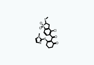 CSC1Cc2c(ccc(C(=O)C3=C(Sc4nccn4C)CCCC3=O)c2Cl)S1(=O)=O